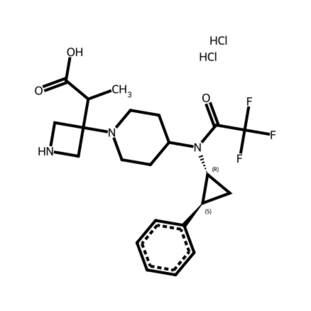 CC(C(=O)O)C1(N2CCC(N(C(=O)C(F)(F)F)[C@@H]3C[C@H]3c3ccccc3)CC2)CNC1.Cl.Cl